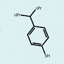 CCCC(CCC)c1ccc(S)cc1